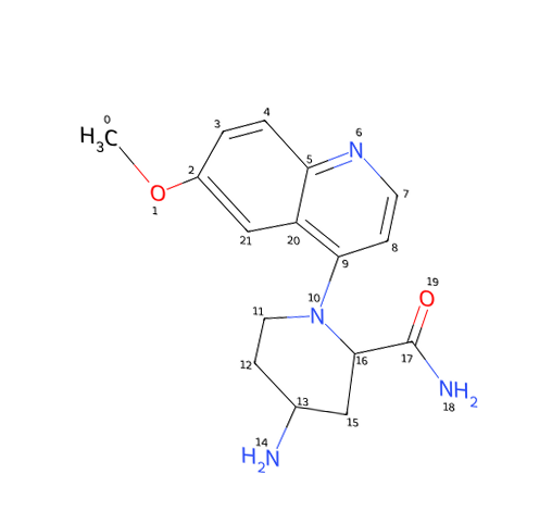 COc1ccc2nccc(N3CCC(N)CC3C(N)=O)c2c1